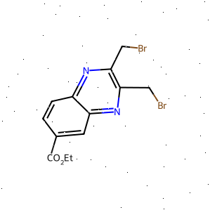 CCOC(=O)c1ccc2nc(CBr)c(CBr)nc2c1